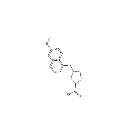 COc1ccc2c(CN3CCC(C(=O)O)C3)cccc2c1